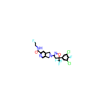 O=C(NCCF)c1cc2c(cn1)CN(C1=NOC(c3cc(Cl)c(F)c(Cl)c3)(C(F)(F)F)C1)C2